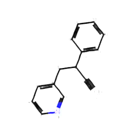 C#CC(Cc1cccnc1)c1ccccc1